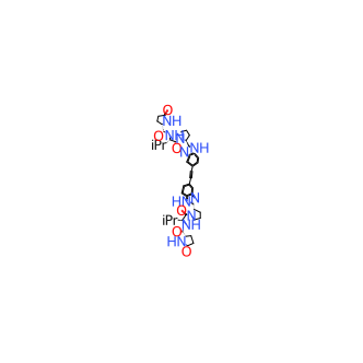 CC(C)[C@H](NC(=O)[C@@H]1CCC(=O)N1)C(=O)N1CCC[C@H]1c1nc2cc(C#Cc3ccc4[nH]c([C@@H]5CCCN5C(=O)[C@@H](NC(=O)[C@@H]5CCC(=O)N5)C(C)C)nc4c3)ccc2[nH]1